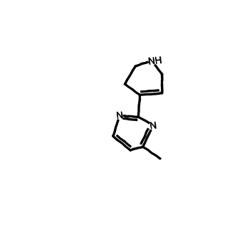 Cc1ccnc(C2=CCNCC2)n1